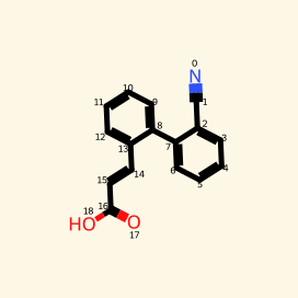 N#Cc1ccccc1-c1ccccc1/C=C/C(=O)O